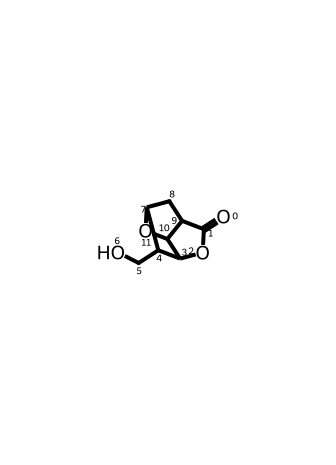 O=C1OC2C(CO)C3CC1C2O3